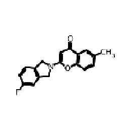 Cc1ccc2oc(N3Cc4ccc(F)cc4C3)cc(=O)c2c1